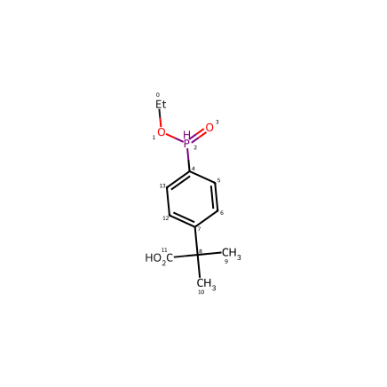 CCO[PH](=O)c1ccc(C(C)(C)C(=O)O)cc1